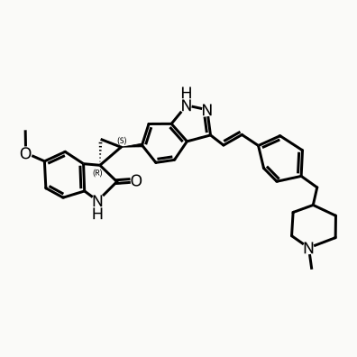 COc1ccc2c(c1)[C@]1(C[C@H]1c1ccc3c(C=Cc4ccc(CC5CCN(C)CC5)cc4)n[nH]c3c1)C(=O)N2